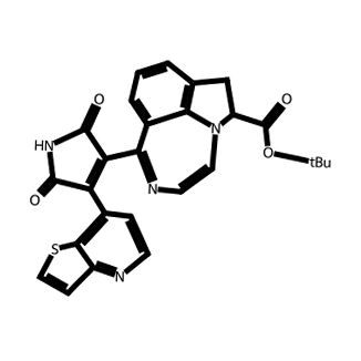 CC(C)(C)OC(=O)C1Cc2cccc3c2N1C=CN=C3C1=C(c2ccnc3ccsc23)C(=O)NC1=O